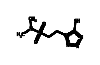 CN(C)S(=O)(=O)CCn1nnnc1S